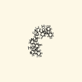 Cc1cc(-c2cccnc2OC(C)C[C@H](C)Oc2ncccc2-c2cc(C)cc(-n3c4ccccc4c4ccccc43)c2O)c(O)c(-n2c3ccccc3c3ccccc32)c1